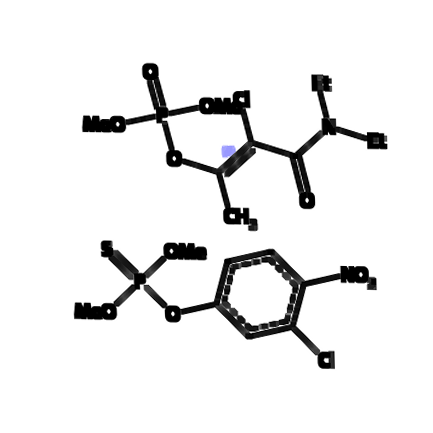 CCN(CC)C(=O)/C(Cl)=C(\C)OP(=O)(OC)OC.COP(=S)(OC)Oc1ccc([N+](=O)[O-])c(Cl)c1